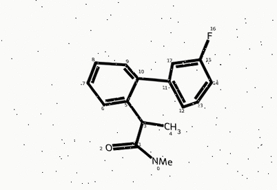 CNC(=O)C(C)c1ccccc1-c1cccc(F)c1